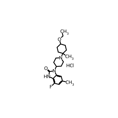 CCOC1CCC(C)(N2CCC(n3c(=O)[nH]c4c(F)cc(C)cc43)CC2)CC1.Cl